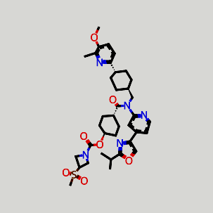 COc1ccc([C@H]2CC[C@H](CN(c3cc(-c4coc(C(C)C)n4)ccn3)C(=O)[C@H]3CC[C@H](OC(=O)N4CC(S(C)(=O)=O)C4)CC3)CC2)nc1C